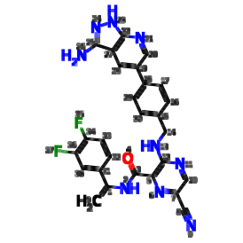 C=C(NC(=O)c1nc(C#N)cnc1NCc1ccc(-c2cnc3[nH]nc(N)c3c2)cc1)c1ccc(F)c(F)c1